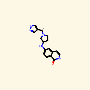 C[C@@H](c1cn[nH]c1)N1CCC(Nc2ccc3c(=O)[nH]ccc3c2)C1